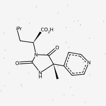 CC(C)C[C@@H](C(=O)O)N1C(=O)N[C@@](C)(c2ccncc2)C1=O